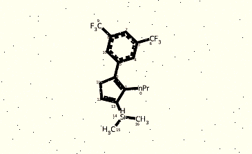 CCCC1=C(c2cc(C(F)(F)F)cc(C(F)(F)F)c2)CC=C1[SiH](C)C